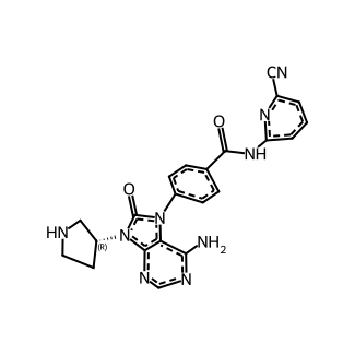 N#Cc1cccc(NC(=O)c2ccc(-n3c(=O)n([C@@H]4CCNC4)c4ncnc(N)c43)cc2)n1